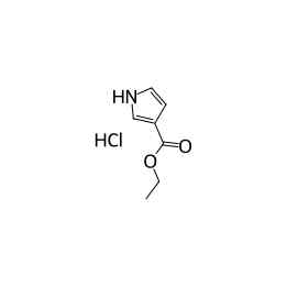 CCOC(=O)c1cc[nH]c1.Cl